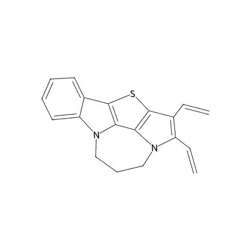 C=Cc1c(C=C)n2c3c1sc1c4ccccc4n(c13)CCC2